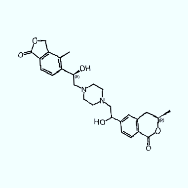 Cc1c([C@@H](O)CN2CCN(CC(O)c3ccc4c(c3)C[C@@H](C)OC4=O)CC2)ccc2c1COC2=O